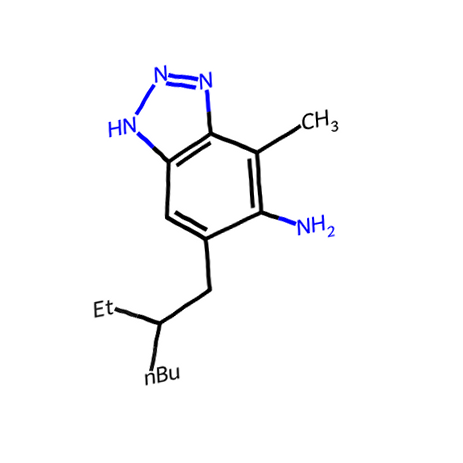 CCCCC(CC)Cc1cc2[nH]nnc2c(C)c1N